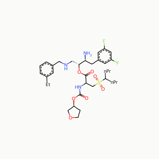 CCCC(CCC)S(=O)(=O)CC(NC(=O)O[C@H]1CCOC1)C(=O)O[C@H](CNCc1cccc(CC)c1)[C@@H](N)Cc1cc(F)cc(F)c1